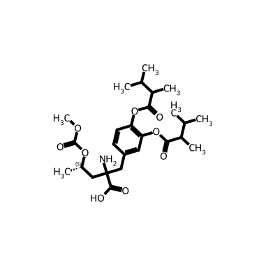 COC(=O)O[C@@H](C)CC(N)(Cc1ccc(OC(=O)C(C)C(C)C)c(OC(=O)C(C)C(C)C)c1)C(=O)O